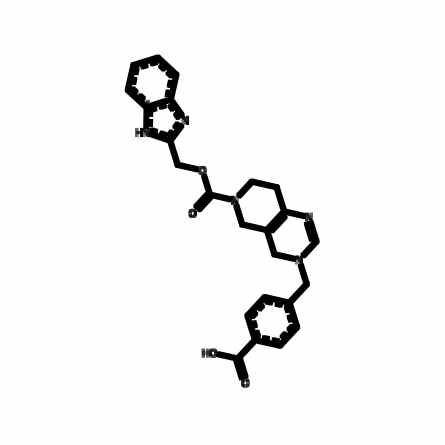 O=C(O)c1ccc(CN2C=NC3=C(C2)CN(C(=O)OCc2nc4ccccc4[nH]2)CC3)cc1